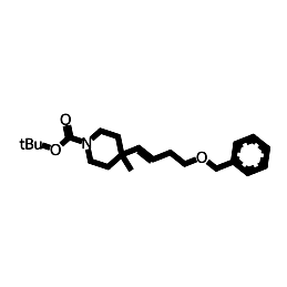 CC1(C=CCCOCc2ccccc2)CCN(C(=O)OC(C)(C)C)CC1